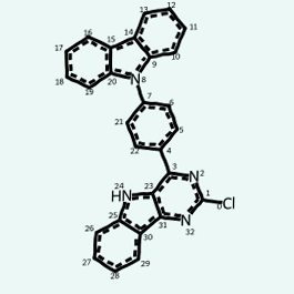 Clc1nc(-c2ccc(-n3c4ccccc4c4ccccc43)cc2)c2[nH]c3ccccc3c2n1